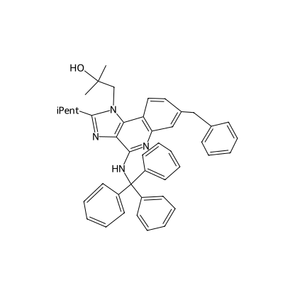 CCCC(C)c1nc2c(NC(c3ccccc3)(c3ccccc3)c3ccccc3)nc3cc(Cc4ccccc4)ccc3c2n1CC(C)(C)O